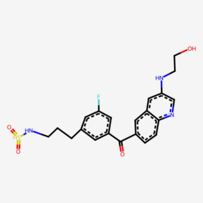 O=C(c1cc(F)cc(CCCN[SH](=O)=O)c1)c1ccc2ncc(NCCO)cc2c1